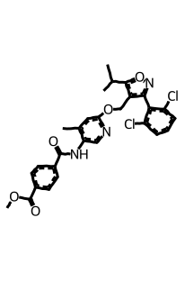 COC(=O)c1ccc(C(=O)Nc2cnc(OCc3c(-c4c(Cl)cccc4Cl)noc3C(C)C)cc2C)cc1